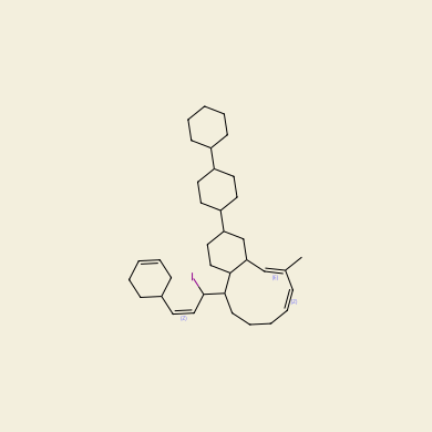 CC1=C\C2CC(C3CCC(C4CCCCC4)CC3)CCC2C(C(I)/C=C\C2CC=CCC2)CCC/C=C\1